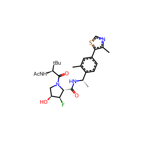 CC(=O)N[C@H](C(=O)N1C[C@H](O)[C@H](F)[C@H]1C(=O)N[C@@H](C)c1ccc(-c2scnc2C)cc1C)C(C)(C)C